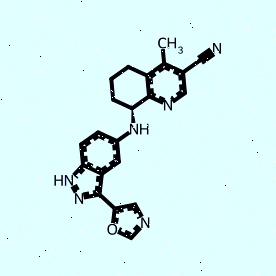 Cc1c(C#N)cnc2c1CCC[C@@H]2Nc1ccc2[nH]nc(-c3cnco3)c2c1